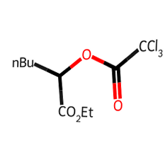 CCCCC(OC(=O)C(Cl)(Cl)Cl)C(=O)OCC